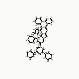 C1=C2C=c3cc4c5ccccc5c5ccccc5c4cc3=C2C2(C=C1c1nc(-c3ccccc3)nc(-c3ccccc3)n1)c1ccccc1-c1ccccc12